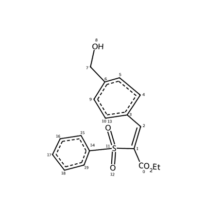 CCOC(=O)C(=Cc1ccc(CO)cc1)S(=O)(=O)c1ccccc1